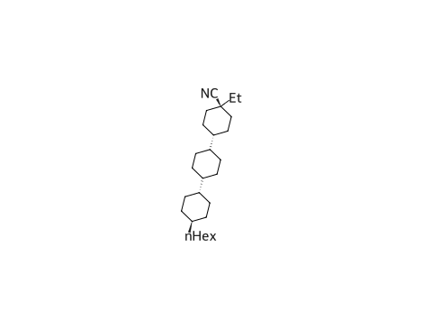 CCCCCC[C@H]1CC[C@H](C2CCC([C@H]3CC[C@@](C#N)(CC)CC3)CC2)CC1